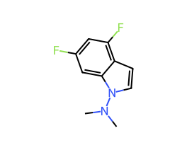 CN(C)n1ccc2c(F)cc(F)cc21